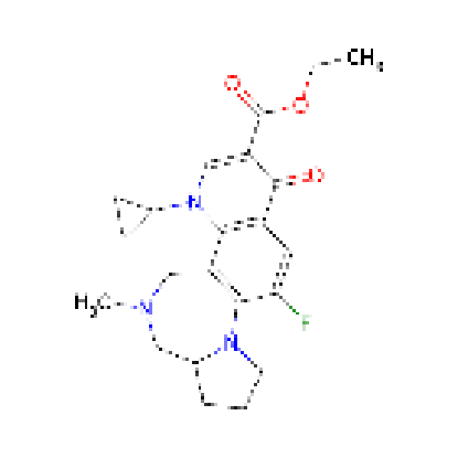 CCOC(=O)c1cn(C2CC2)c2c3c(c(F)cc2c1=O)N1CCCC1CN(C)C3